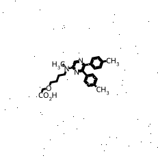 Cc1ccc(-c2ncc(N(C)CCCCOCC(=O)O)nc2-c2ccc(C)cc2)cc1